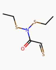 CCSN(SCC)C(=O)[C]=S